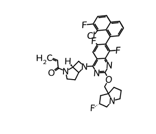 C=CC(=O)N1CCC2[C@H]1CN2c1nc(OCC23CCCN2C[C@H](F)C3)nc2c(F)c(-c3cccc4ccc(F)c(Cl)c34)c(F)cc12